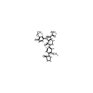 COc1cc(-n2nc(C(N)=O)c3c2C(=O)N(c2ccc(N4CCCC4=O)c(C)c2)CC3)ccc1F